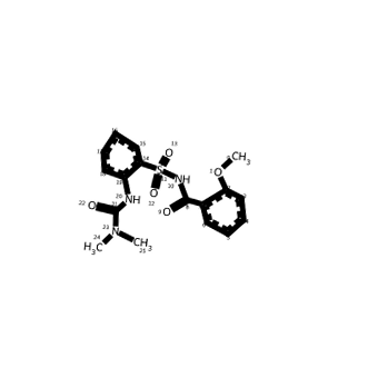 COc1ccccc1C(=O)NS(=O)(=O)c1ccccc1NC(=O)N(C)C